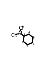 [Cl][Al]([Cl])[CH]1CCCCC1